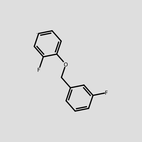 Fc1cccc(COc2cc[c]cc2F)c1